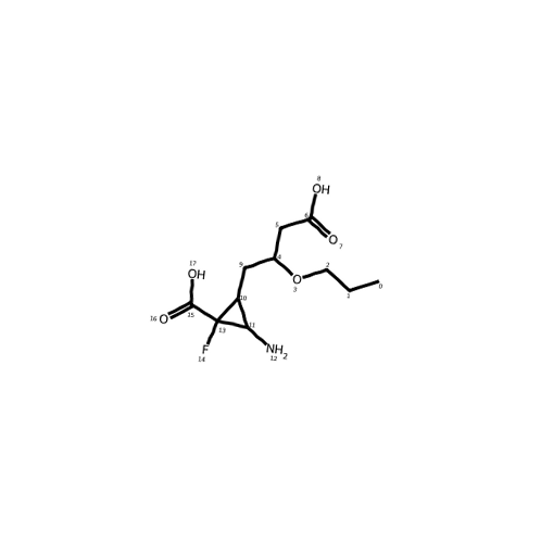 CCCOC(CC(=O)O)CC1C(N)C1(F)C(=O)O